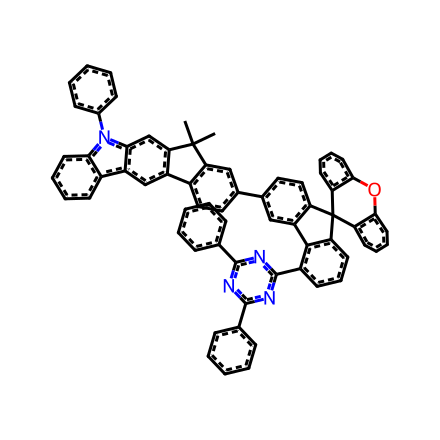 CC1(C)c2cc(-c3ccc4c(c3)-c3c(-c5nc(-c6ccccc6)nc(-c6ccccc6)n5)cccc3C43c4ccccc4Oc4ccccc43)ccc2-c2cc3c4ccccc4n(-c4ccccc4)c3cc21